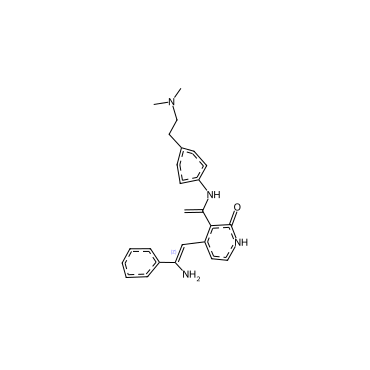 C=C(Nc1ccc(CCN(C)C)cc1)c1c(/C=C(\N)c2ccccc2)cc[nH]c1=O